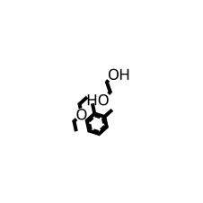 CCOCC.Cc1ccccc1C.OCCO